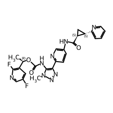 C[C@@H](OC(=O)Nc1c(-c2ccc(NC(=O)[C@H]3C[C@@H]3c3ccccn3)cn2)nnn1C)c1cc(F)cnc1F